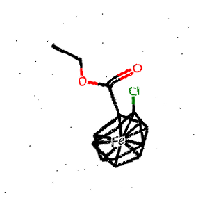 CCOC(=O)[C]12[CH]3[CH]4[CH]5[CH]1[Fe]45321678[CH]2[CH]1[CH]6[C]7(Cl)[CH]28